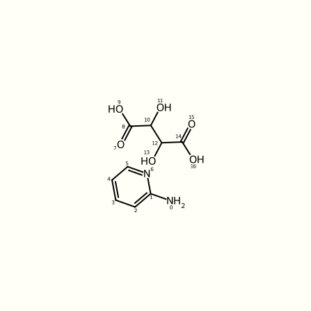 Nc1ccccn1.O=C(O)C(O)C(O)C(=O)O